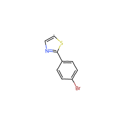 Brc1ccc(-c2nc[c]s2)cc1